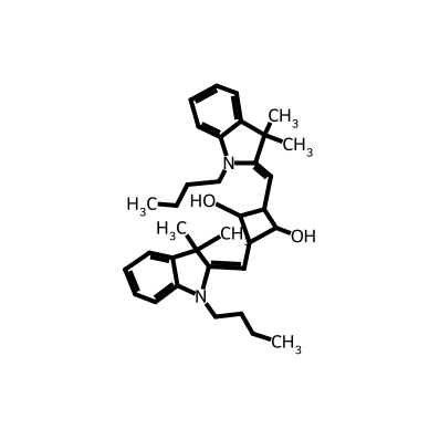 CCCCN1C(=CC2C(O)C(C=C3N(CCCC)c4ccccc4C3(C)C)C2O)C(C)(C)c2ccccc21